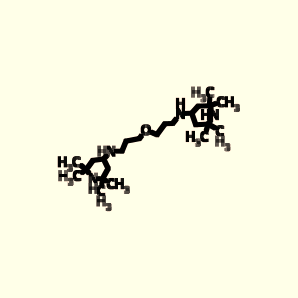 CC1(C)CC(NCCCOCCCNC2CC(C)(C)NC(C)(C)C2)CC(C)(C)N1